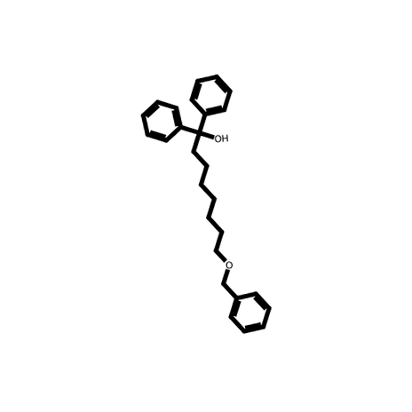 OC(CCCCCCCOCc1ccccc1)(c1ccccc1)c1ccccc1